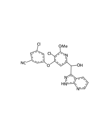 COc1nc(C(O)c2n[nH]c3ncccc23)cc(Oc2cc(Cl)cc(C#N)c2)c1Cl